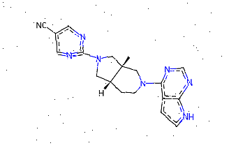 C[C@]12CN(c3ncc(C#N)cn3)C[C@H]1CCN(c1ncnc3[nH]ccc13)C2